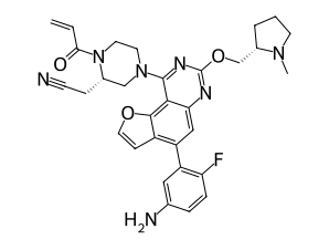 C=CC(=O)N1CCN(c2nc(OC[C@@H]3CCCN3C)nc3cc(-c4cc(N)ccc4F)c4ccoc4c23)C[C@@H]1CC#N